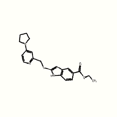 CCOC(=O)c1ccc2[nH]c(SCc3cc(N4CCCC4)ccn3)cc2c1